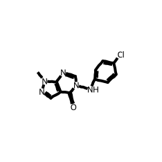 Cn1ncc2c(=O)n(Nc3ccc(Cl)cc3)cnc21